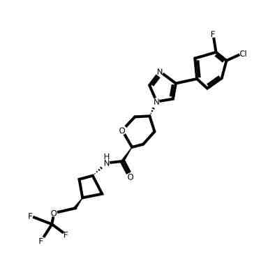 O=C(N[C@H]1C[C@H](COC(F)(F)F)C1)[C@@H]1CC[C@@H](n2cnc(-c3ccc(Cl)c(F)c3)c2)CO1